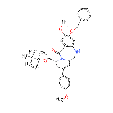 COc1ccc(C2=CC3CNc4cc(OCc5ccccc5)c(OC)cc4C(=O)N3[C@H](CO[Si](C)(C)C(C)(C)C)C2)cc1